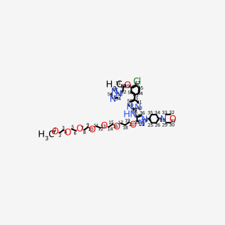 COCCOCCOCCOCCOCCOCCCOc1nn(C2CCC(N3CCOCC3)CC2)cc1Nc1ncc(-c2ccc(Cl)c(O[C@@H](C)Cn3cncn3)c2)cn1